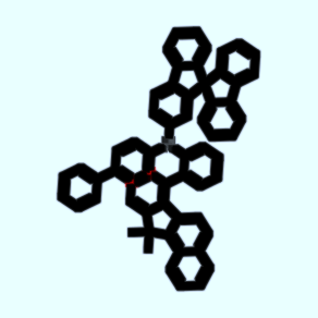 CC1(C)c2cccc(-c3ccccc3N(c3ccc(-c4ccccc4)cc3)c3ccc4c(c3)C3(c5ccccc5-c5ccccc53)c3ccccc3-4)c2-c2ccc3ccccc3c21